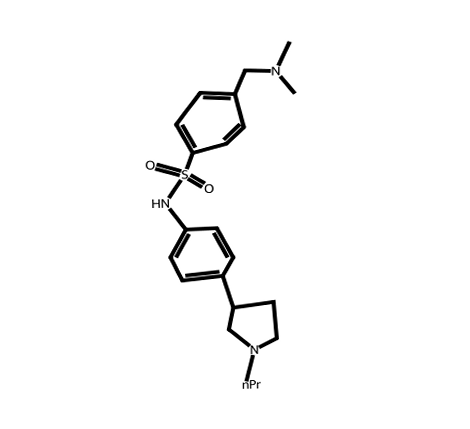 CCCN1CCC(c2ccc(NS(=O)(=O)c3ccc(CN(C)C)cc3)cc2)C1